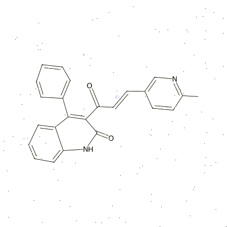 Cc1ccc(/C=C/C(=O)c2c(-c3ccccc3)c3ccccc3[nH]c2=O)cn1